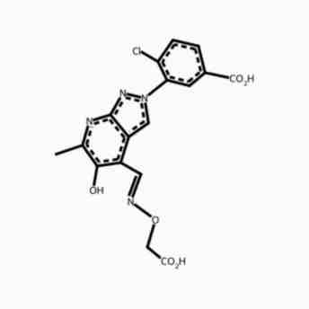 Cc1nc2nn(-c3cc(C(=O)O)ccc3Cl)cc2c(C=NOCC(=O)O)c1O